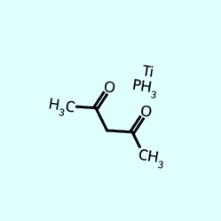 CC(=O)CC(C)=O.P.[Ti]